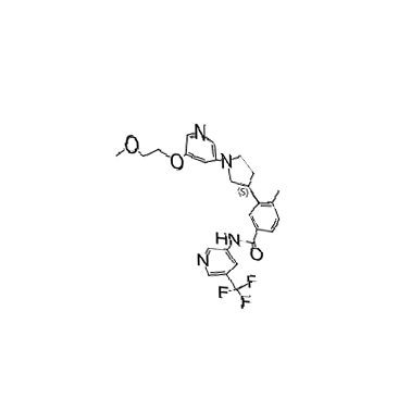 COCCOc1cncc(N2CC[C@@H](c3cc(C(=O)Nc4cncc(C(F)(F)F)c4)ccc3C)C2)c1